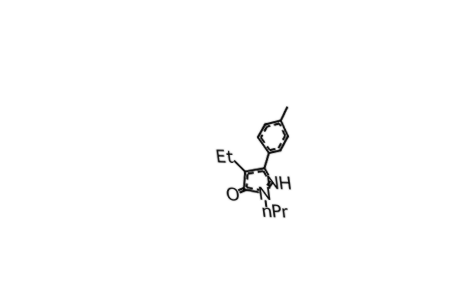 CCCn1[nH]c(-c2ccc(C)cc2)c(CC)c1=O